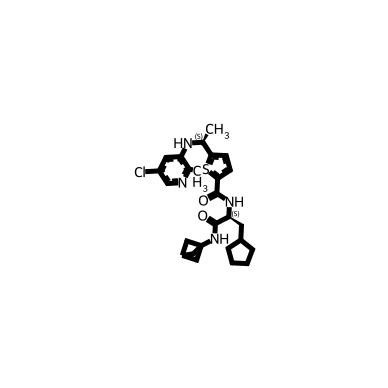 Cc1ncc(Cl)cc1N[C@@H](C)c1ccc(C(=O)N[C@@H](CC2CCCC2)C(=O)NC23CC(C2)C3)s1